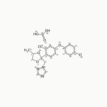 CC1COC(Cn2cncn2)(c2ccc(Oc3ccc(Cl)cc3)cc2Cl)O1.O=C(O)O